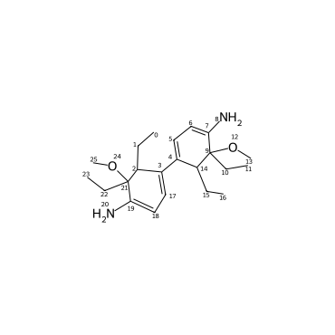 CCC1C(C2=CC=C(N)C(CC)(OC)C2CC)=CC=C(N)C1(CC)OC